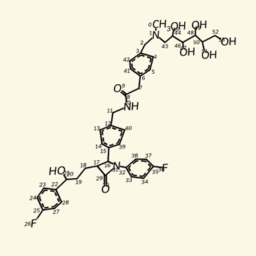 CN(Cc1ccc(CC(=O)NCc2ccc(C3C(CCC(O)c4ccc(F)cc4)C(=O)N3c3ccc(F)cc3)cc2)cc1)CC(O)C(O)C(O)C(O)CO